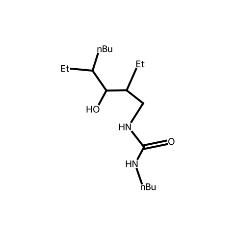 CCCCNC(=O)NCC(CC)C(O)C(CC)CCCC